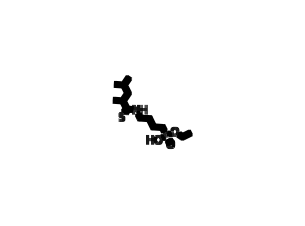 CCOP(=O)(O)CCCCNC(=S)C(C)CC(C)C